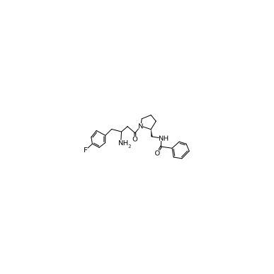 NC(CC(=O)N1CCC[C@H]1CNC(=O)c1ccccc1)Cc1ccc(F)cc1